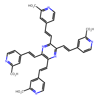 O=C(O)c1cc(C=Cc2nc(C=Cc3ccnc(C(=O)O)c3)c(C=Cc3ccnc(C(=O)O)c3)nc2C=Cc2ccnc(C(=O)O)c2)ccn1